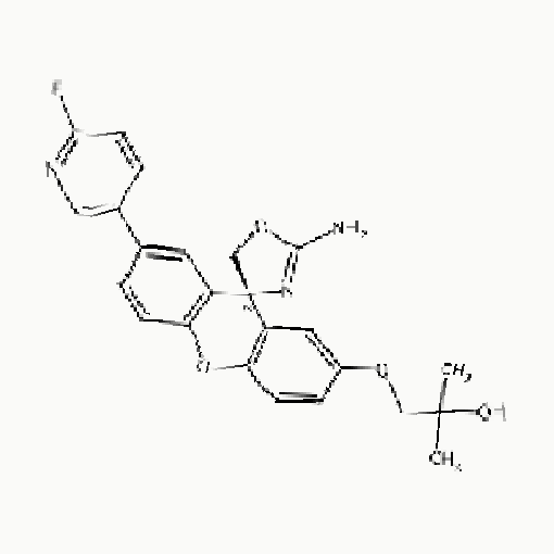 CC(C)(O)COc1ccc2c(c1)[C@]1(COC(N)=N1)c1cc(-c3ccc(F)nc3)ccc1O2